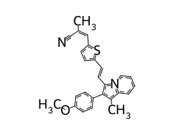 COc1ccc(-c2c(C)c3ccccn3c2/C=C/c2ccc(/C=C(/C)C#N)s2)cc1